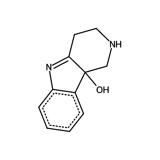 OC12CNCCC1=Nc1ccccc12